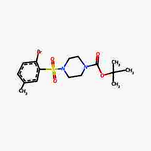 Cc1ccc(Br)c(S(=O)(=O)N2CCN(C(=O)OC(C)(C)C)CC2)c1